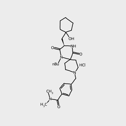 CCCCN1C(=O)[C@@H](CC2(O)CCCCC2)NC(=O)C12CCN(Cc1ccc(C(=O)N(C)C)cc1)CC2.Cl